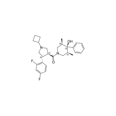 C[C@@H]1CN(C(=O)[C@@H]2CN(C3CCC3)C[C@H]2c2ccc(F)cc2F)C[C@H](C)[C@@]1(O)c1ccccc1